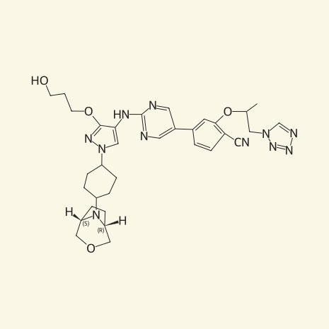 CC(Cn1cnnn1)Oc1cc(-c2cnc(Nc3cn(C4CCC(N5[C@@H]6CC[C@H]5COC6)CC4)nc3OCCCO)nc2)ccc1C#N